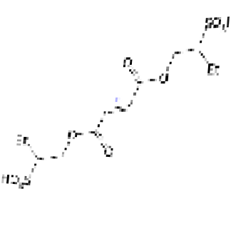 CCC(COC(=O)/C=C/C(=O)OCC(CC)S(=O)(=O)O)S(=O)(=O)O